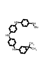 CC(C)(C)Nc1ccc(Nc2ccc(Nc3ccc(Nc4ccc5c(c4)C5(C)C)cc3)cc2)cc1